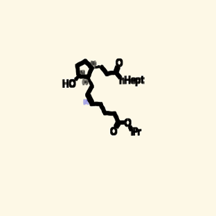 CCCCCCCC(=O)CC[C@H]1CC[C@H](O)[C@@H]1C/C=C\CCCC(=O)OC(C)C